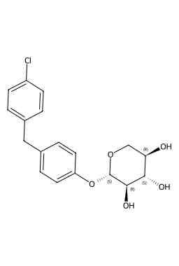 O[C@@H]1[C@@H](O)[C@H](Oc2ccc(Cc3ccc(Cl)cc3)cc2)OC[C@H]1O